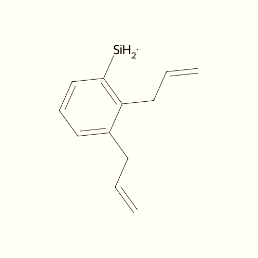 C=CCc1cccc([SiH2])c1CC=C